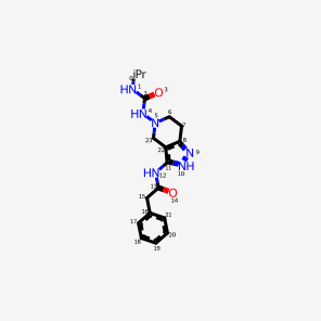 CC(C)NC(=O)NN1CCc2n[nH]c(NC(=O)Cc3ccccc3)c2C1